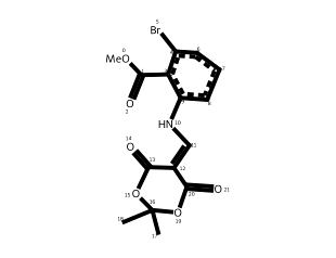 COC(=O)c1c(Br)cccc1NC=C1C(=O)OC(C)(C)OC1=O